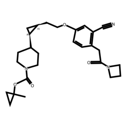 CC1(OC(=O)N2CCC([C@H]3C[C@H]3CCOc3ccc(CC(=O)N4CCC4)c(C#N)c3)CC2)CC1